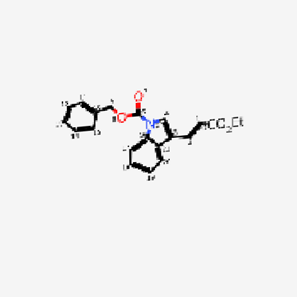 CCOC(=O)C=Cc1cn(C(=O)OCc2ccccc2)c2ccccc12